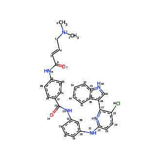 CN(C)C/C=C/C(=O)Nc1ccc(C(=O)Nc2cccc(Nc3ccc(Cl)c(-c4c[nH]c5ccccc45)n3)c2)cc1